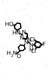 NC(=O)C1CCC(n2c(Nc3c(Cl)cc(F)cc3Cl)nc3cnc(N[C@@H]4CCC[C@@H](O)C4)nc32)CC1